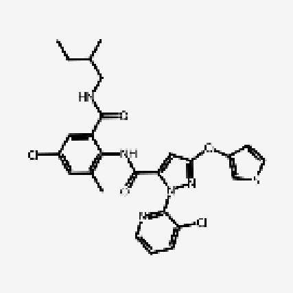 CCC(C)CNC(=O)c1cc(Cl)cc(C)c1NC(=O)c1cc(Oc2ccsc2)nn1-c1ncccc1Cl